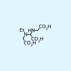 CCN(CC(=O)O)C(NCC(=O)O)C(=O)O